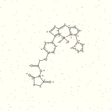 O=C(COc1ccc(C2=[N+]3C(=Cc4ccc(-c5cccs5)n4[B-]3(F)F)C=C2)cc1)ON1C(=O)CCC1=O